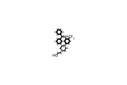 OCCN1CCN(c2ccc(C(F)(F)F)c(NC(c3ccccc3)c3ccccc3)c2)CC1